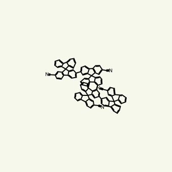 N#Cc1ccc2c(c1)C1(c3ccccc3-2)c2ccccc2-c2ccc(-c3cc(-c4cccc5c4-c4ccccc4C54c5cc(C#N)ccc5-c5ccc(-c6ccc7c(c6)C6(c8ccccc8-c8ccccc86)c6cc(C#N)ccc6-7)cc54)c4c(c3)C3(c5ccccc5-c5ccc(C#N)cc53)c3ccccc3-4)cc21